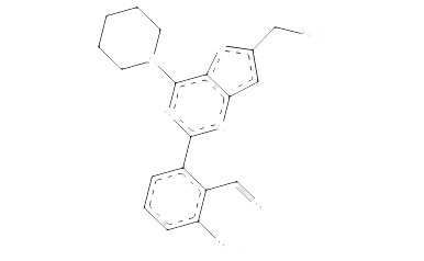 N=Cc1c(N)cccc1-c1nc(N2CCCCC2)c2sc(CN)cc2n1